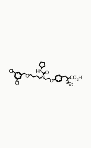 CCOC(Cc1ccc(OCCN(CCCCOCc2cc(Cl)cc(Cl)c2)C(=O)NC2CCCC2)cc1)C(=O)O